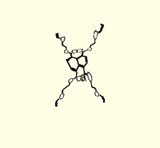 C=COCCOC(=O)c1ccc(C(=O)OCCOC=C)c2c(C(O)OCCOC=C)ccc(C(=O)OCCOC=C)c12